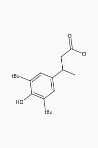 CC(CC(=O)Cl)c1cc(C(C)(C)C)c(O)c(C(C)(C)C)c1